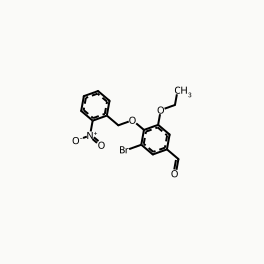 CCOc1cc(C=O)cc(Br)c1OCc1ccccc1[N+](=O)[O-]